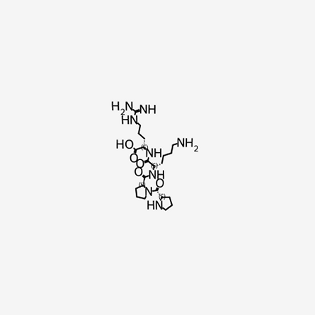 N=C(N)NCCC[C@H](NC(=O)[C@H](CCCCN)NC(=O)[C@@H]1CCCN1C(=O)[C@@H]1CCCN1)C(=O)O